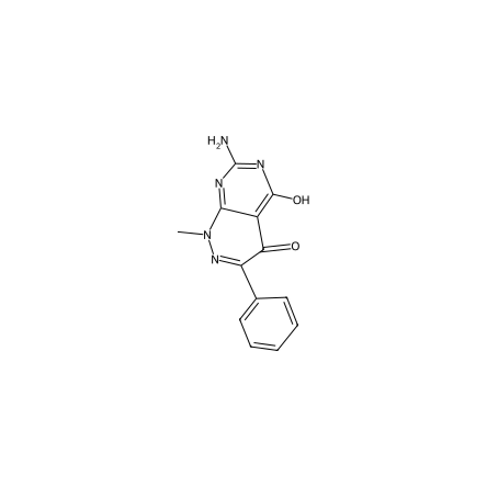 Cn1nc(-c2ccccc2)c(=O)c2c(O)nc(N)nc21